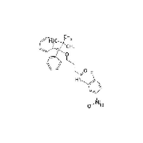 CC(C)(C)[Si](OCCCC(=O)Nc1cc([N+](=O)[O-])ccc1F)(c1ccccc1)c1ccccc1